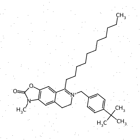 CCCCCCCCCCCC1=[N+](Cc2ccc(C(C)(C)C)cc2)CCc2cc3c(cc21)oc(=O)n3C